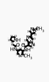 Cc1ncc(NC(=O)C[C@@H]2CCCN2)cc1NC(=O)c1cnn2cc(-c3cnn(C)c3)ncc12